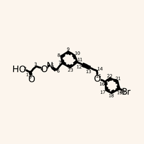 O=C(O)CON=Cc1cccc(C#CCOc2ccc(Br)cc2)c1